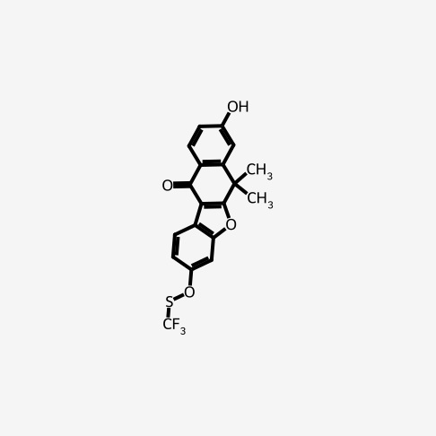 CC1(C)c2cc(O)ccc2C(=O)c2c1oc1cc(OSC(F)(F)F)ccc21